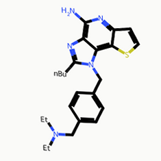 CCCCc1nc2c(N)nc3ccsc3c2n1Cc1ccc(CN(CC)CC)cc1